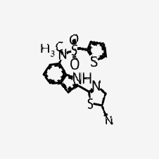 CN(c1cccc2cc(C3=NCC(C#N)S3)[nH]c12)S(=O)(=O)c1cccs1